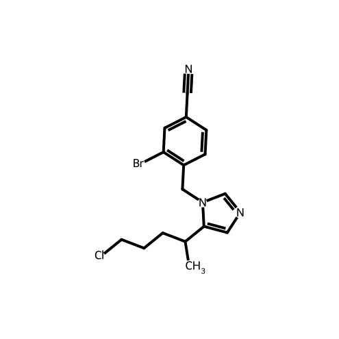 CC(CCCCl)c1cncn1Cc1ccc(C#N)cc1Br